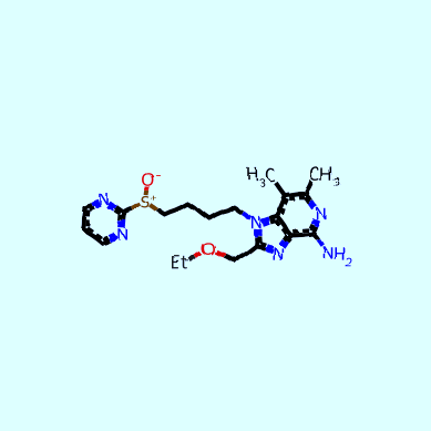 CCOCc1nc2c(N)nc(C)c(C)c2n1CCCC[S+]([O-])c1ncccn1